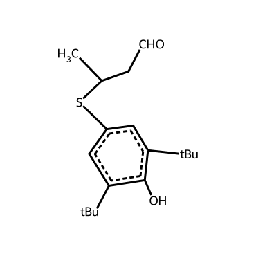 CC(CC=O)Sc1cc(C(C)(C)C)c(O)c(C(C)(C)C)c1